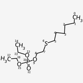 CCCCCCSCCOP(=O)(OCC)OCC